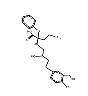 CCCC(NCC(O)COc1ccc(O)c(CO)c1)(Oc1ccccc1)C(=O)O